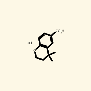 CC1(C)CCOc2ccc(C(=O)O)cc21.Cl